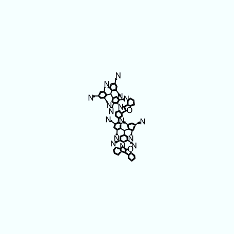 Cc1cc(C#N)cc(C#N)c1C(c1cc(C#N)c(-n2c3ccc(-c4c(C#N)cc(C#N)c(C(c5cc(C#N)c(-n6c7ccccc7c7c8ccccc8oc76)c(C#N)c5)c5c(C#N)cc(C#N)cc5C#N)c4C)cc3c3oc4ccccc4c32)c(C#N)c1)c1c(C#N)cc(C#N)cc1C#N